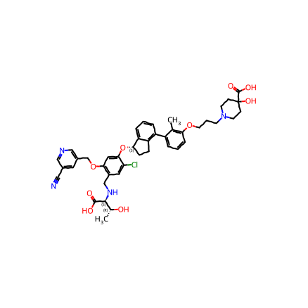 Cc1c(OCCCN2CCC(O)(C(=O)O)CC2)cccc1-c1cccc2c1CC[C@@H]2Oc1cc(OCc2cncc(C#N)c2)c(CN[C@H](C(=O)O)[C@@H](C)O)cc1Cl